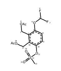 CC(=O)OCc1c(OC(F)F)ccc(OS(C)(=O)=O)c1COC(C)=O